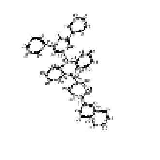 c1ccc(-c2cc(-c3ccccc3)cc(-c3c4ccccc4c(-c4ccc(-c5ccc6ccccc6c5)nc4)c4ccccc34)c2)cc1